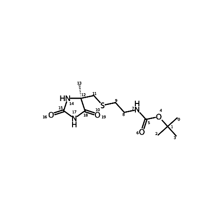 CC(C)(C)OC(=O)NCCSC[C@]1(C)NC(=O)NC1=O